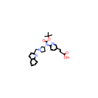 CC(C)(C)OC(=O)N(c1ccc(C=CC(=O)O)cn1)[C@@H]1CCN(Cc2ccc3ccccc3n2)C1